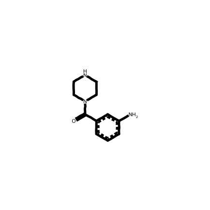 Nc1cccc(C(=O)N2C[CH]NCC2)c1